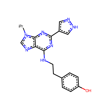 CC(C)n1cnc2c(NCCc3ccc(O)cc3)nc(-c3cn[nH]c3)nc21